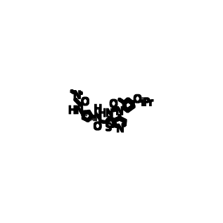 Cc1cc(OC(C)C)ccc1N1C(=O)Nc2c(C(=O)N[C@H]3CC[C@@H](NC(=O)CN(C)C)C3)sc3nccc1c23